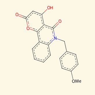 COc1ccc(Cn2c(=O)c3c(O)cc(=O)oc3c3ccccc32)cc1